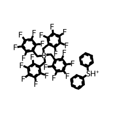 Fc1c(F)c(F)c(C[B-](Cc2c(F)c(F)c(F)c(F)c2F)(Cc2c(F)c(F)c(F)c(F)c2F)Cc2c(F)c(F)c(F)c(F)c2F)c(F)c1F.c1ccc([SH+]c2ccccc2)cc1